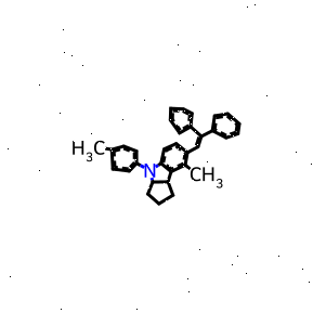 Cc1ccc(N2c3ccc(C=C(c4ccccc4)c4ccccc4)c(C)c3C3CCCC32)cc1